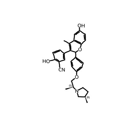 CC1=C(c2ccc(O)c(C#N)c2)C(c2ccc(OC[C@H](C)N3CC[C@@H](C)C3)cc2)Oc2ccc(O)cc21